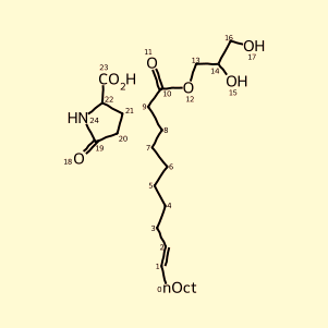 CCCCCCCCC=CCCCCCCCC(=O)OCC(O)CO.O=C1CCC(C(=O)O)N1